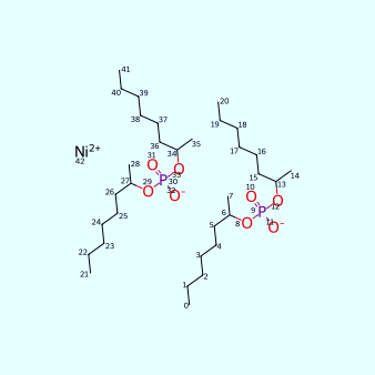 CCCCCCC(C)OP(=O)([O-])OC(C)CCCCCC.CCCCCCC(C)OP(=O)([O-])OC(C)CCCCCC.[Ni+2]